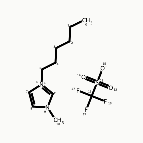 CCCCCC[n+]1ccn(C)c1.O=S(=O)([O-])C(F)(F)F